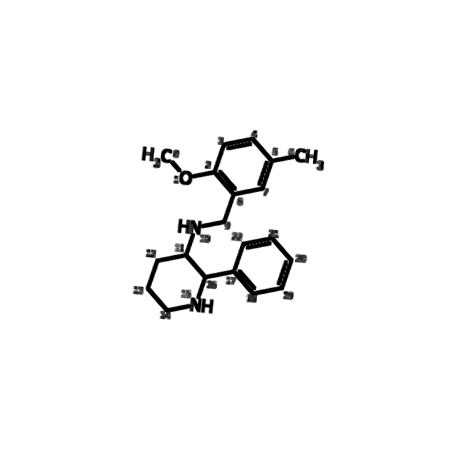 COc1ccc(C)cc1CNC1CCCNC1c1ccccc1